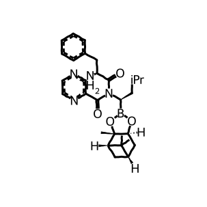 CC(C)C[C@@H](B1O[C@H]2C[C@@H]3C[C@@H](C3(C)C)[C@]2(C)O1)N(C(=O)c1cnccn1)C(=O)[C@@H](N)Cc1ccccc1